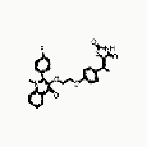 CC(=C1SC(=O)NC1=O)c1ccc(OCCOc2c(-c3ccc(F)cc3)n(C)c3ccccc3c2=O)cc1